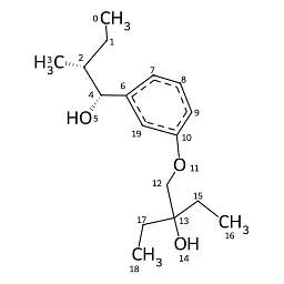 CC[C@@H](C)[C@@H](O)c1cccc(OCC(O)(CC)CC)c1